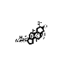 CO[C@H]1CC[C@H]2[C@@H]3CC[C@H]4CC(=O)[C@H](Br)C[C@]4(C)[C@H]3CC[C@]12C